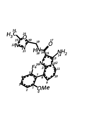 COc1cccc(F)c1-c1cccn2c(N)c(C(=O)NCc3nnc(C)o3)nc12